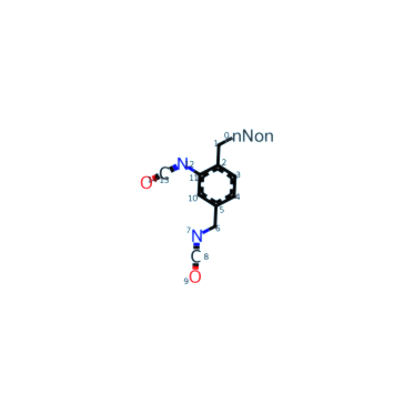 CCCCCCCCCCc1ccc(CN=C=O)cc1N=C=O